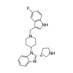 Fc1ccc2[nH]cc(CN3CCC(n4c([C@@H]5CCNC5)nc5ccccc54)CC3)c2c1